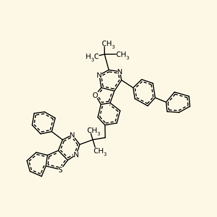 CC(C)(C)c1nc(-c2ccc(-c3ccccc3)cc2)c2c(n1)oc1cc(CC(C)(C)c3nc(-c4ccccc4)c4c(n3)sc3ccccc34)ccc12